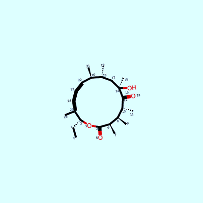 CC[C@H]1OC(=O)[C@H](C)[C@H](C)[C@@H](C)C(=O)[C@](C)(O)C[C@@H](C)[C@H](C)C=C=C=C1C